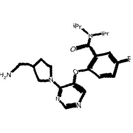 CC(C)N(C(=O)c1cc(F)ccc1Oc1cncnc1N1CCC(CN)C1)C(C)C